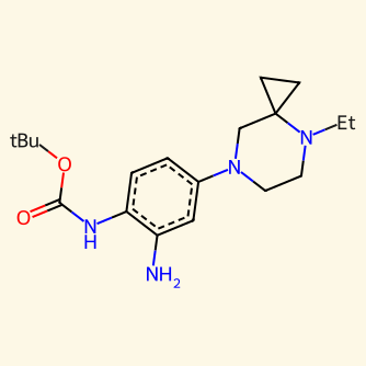 CCN1CCN(c2ccc(NC(=O)OC(C)(C)C)c(N)c2)CC12CC2